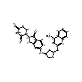 Cc1nc(CN2CCC(Oc3ccc4c(c3)CN(C3CCC(=O)NC3=O)C4=O)C2)cc2ccccc12